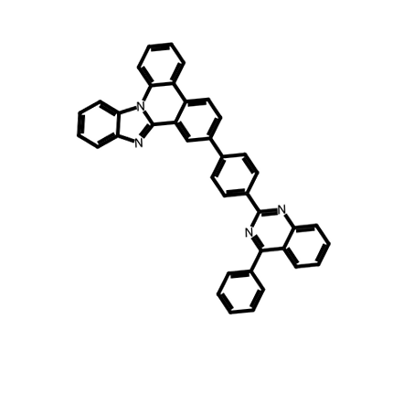 c1ccc(-c2nc(-c3ccc(-c4ccc5c6ccccc6n6c7ccccc7nc6c5c4)cc3)nc3ccccc23)cc1